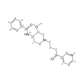 COC1CN(CCCC(=O)c2cccnc2)CCC1NC(=O)c1ccccc1